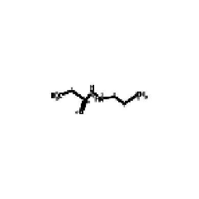 CCCNNC(=O)CC